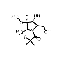 B[C@@H]1N(C(=O)C(F)(F)F)[C@H](CO)[C@@H](O)[C@@]1(F)OC